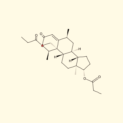 CCC(=O)OC[C@@]12C(=CC(=O)C[C@@H]1C)[C@@H](C)C[C@H]1[C@@H]3CC[C@H](OC(=O)CC)[C@@]3(C)CC[C@@H]12